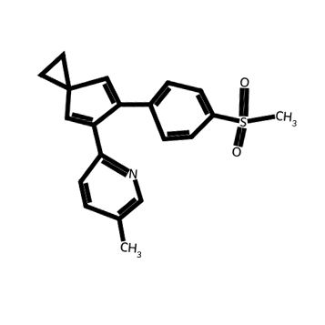 Cc1ccc(C2=CC3(C=C2c2ccc(S(C)(=O)=O)cc2)CC3)nc1